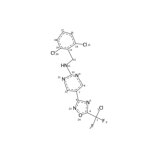 FC(F)(Cl)c1nc(-c2cnc(NCc3c(Cl)cccc3Cl)nc2)no1